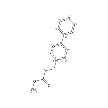 COC(=O)CC[n+]1ccc(-c2ccncc2)cn1